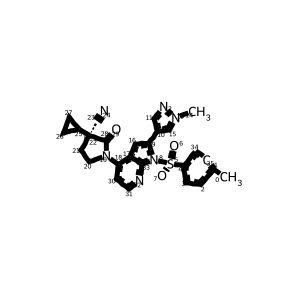 Cc1ccc(S(=O)(=O)n2c(-c3cnn(C)c3)cc3c(N4CC[C@@](C#N)(C5CC5)C4=O)ccnc32)cc1